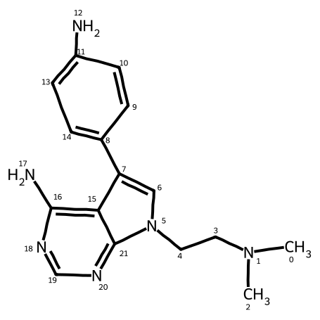 CN(C)CCn1cc(-c2ccc(N)cc2)c2c(N)ncnc21